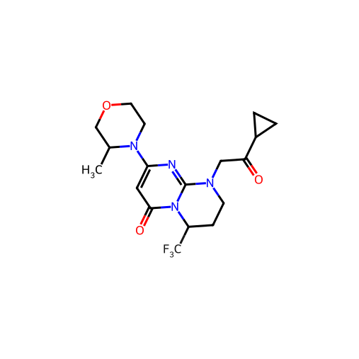 CC1COCCN1c1cc(=O)n2c(n1)N(CC(=O)C1CC1)CCC2C(F)(F)F